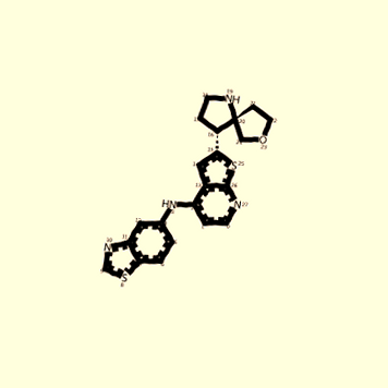 c1cc(Nc2ccc3scnc3c2)c2cc([C@@H]3CCN[C@@]34CCOC4)sc2n1